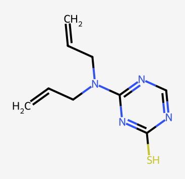 C=CCN(CC=C)c1ncnc(S)n1